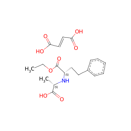 CCOC(=O)[C@H](CCc1ccccc1)N[C@@H](C)C(=O)O.O=C(O)C=CC(=O)O